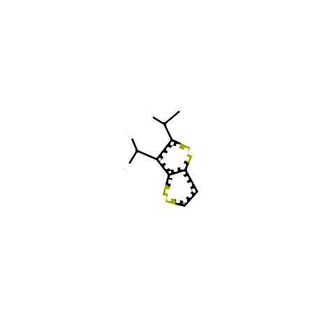 CC(C)c1sc2ccsc2c1C(C)C